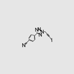 N#Cc1ccc(-c2nnn(CC#CI)n2)cc1